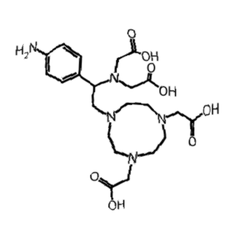 Nc1ccc(C(CN2CCN(CC(=O)O)CCN(CC(=O)O)CC2)N(CC(=O)O)CC(=O)O)cc1